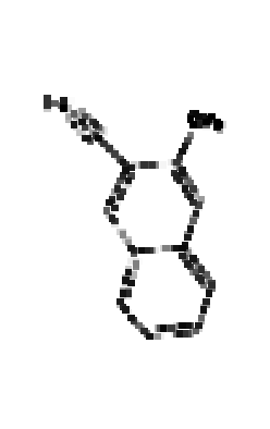 C#Cc1cc2ccccc2cc1OC